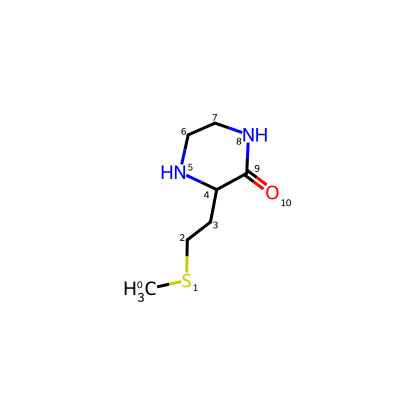 CSCCC1NCCNC1=O